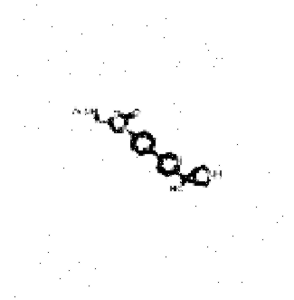 CC(=O)NC[C@H]1CN(c2ccc(-c3ccc(C4(C#N)C5CNCC54)nc3)cc2)C(=O)O1